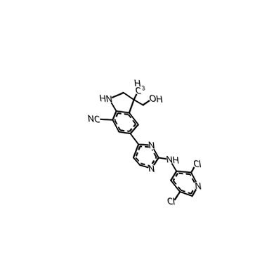 CC1(CO)CNc2c(C#N)cc(-c3ccnc(Nc4cc(Cl)cnc4Cl)n3)cc21